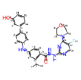 CC(C)c1cc(Nc2ccc(-c3cccc(O)c3)cc2)ccc1C(=O)NNc1ncc(F)c(N2CCOCC2)n1